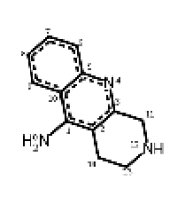 Nc1c2c(nc3ccccc13)CNCC2